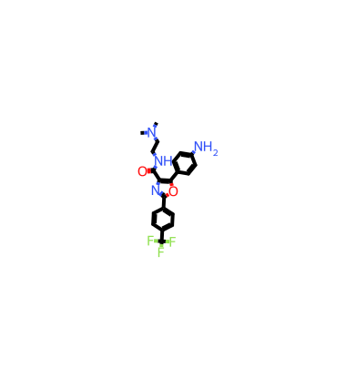 CN(C)CCNC(=O)c1nc(-c2ccc(C(F)(F)F)cc2)oc1-c1ccc(N)cc1